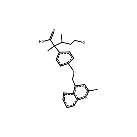 Cc1cc(COc2ccc(C(C)(C(=O)O)C(C)CCCl)cc2)c2ccccc2n1